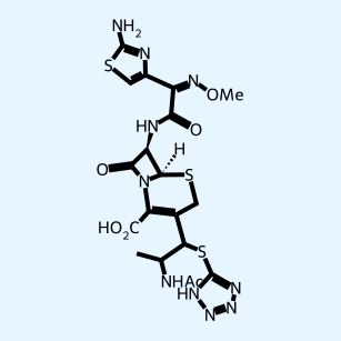 CO/N=C(\C(=O)N[C@@H]1C(=O)N2C(C(=O)O)=C(C(Sc3nnn[nH]3)C(C)NC(C)=O)CS[C@H]12)c1csc(N)n1